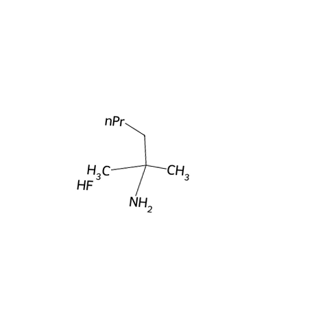 CCCCC(C)(C)N.F